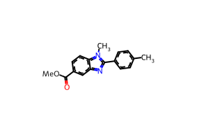 COC(=O)c1ccc2c(c1)nc(-c1ccc(C)cc1)n2C